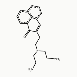 NCCN(CCN)CCC1=Cc2cccc3cccc(c23)C1=O